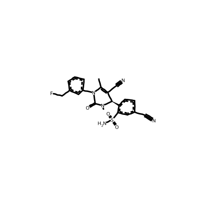 CC1=C(C#N)[C@@H](c2ccc(C#N)cc2S(N)(=O)=O)N(C)C(=O)N1c1cccc(CF)c1